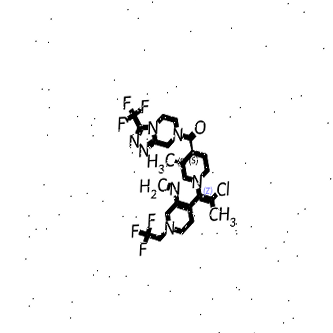 C=NC1=C(/C(=C(\C)Cl)N2CC[C@H](C(=O)N3CCn4c(nnc4C(F)(F)F)C3)[C@H](C)C2)CCN(CC(F)(F)F)C1